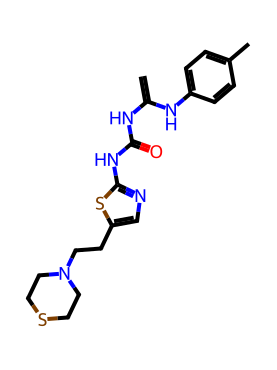 C=C(NC(=O)Nc1ncc(CCN2CCSCC2)s1)Nc1ccc(C)cc1